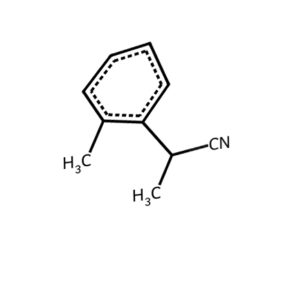 Cc1ccccc1C(C)C#N